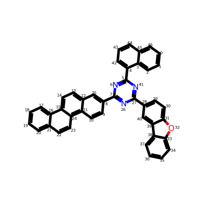 c1ccc2c(-c3nc(-c4ccc5c(ccc6c7ccccc7ccc56)c4)nc(-c4ccc5oc6ccccc6c5c4)n3)cccc2c1